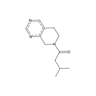 CC(C)CC(=O)N1CCc2cncnc2C1